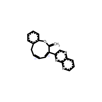 C=C1Oc2ccccc2C/C=C\C=C/1c1cnc2cccnc2n1